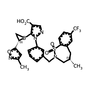 Cc1cc([C@@H]2CB2c2c(C(=O)O)cnn2-c2cccc(CN3C[C@@H](C)Cc4cc(C(F)(F)F)ccc4S3(=O)=O)c2)on1